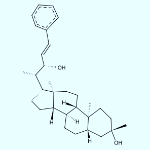 C[C@@H]([C@H]1CC[C@H]2[C@@H]3CC[C@H]4C[C@@](C)(O)CC[C@]4(C)[C@H]3CC[C@]12C)[C@@H](O)/C=C/c1ccccc1